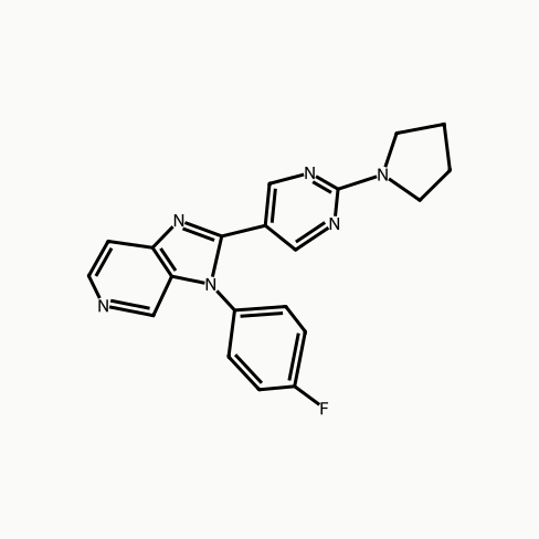 Fc1ccc(-n2c(-c3cnc(N4CCCC4)nc3)nc3ccncc32)cc1